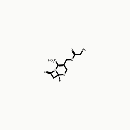 CC(=O)CC(=O)OCC1=C(C(=O)O)N2C(=O)C[C@H]2SC1